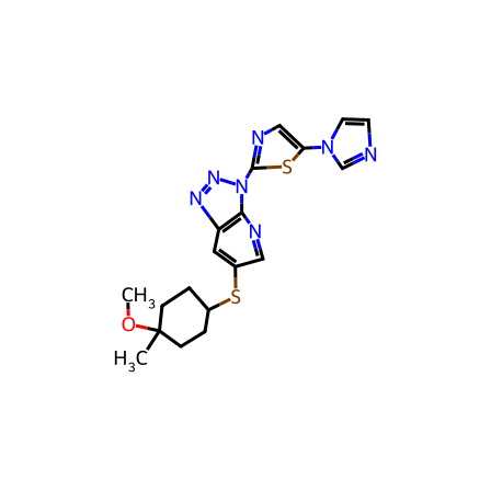 COC1(C)CCC(Sc2cnc3c(c2)nnn3-c2ncc(-n3ccnc3)s2)CC1